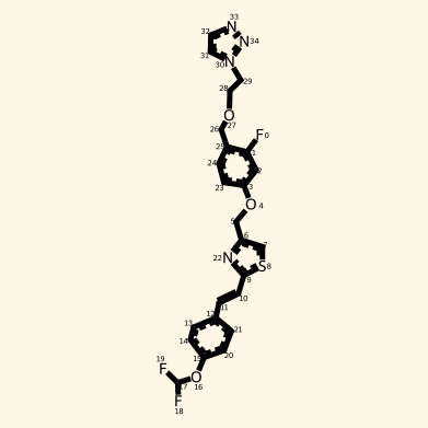 Fc1cc(OCc2csc(C=Cc3ccc(OC(F)F)cc3)n2)ccc1COCCn1ccnn1